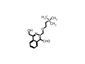 C[Si](C)(C)CCOCN1N=C(CO)c2ccccc2C1C=O